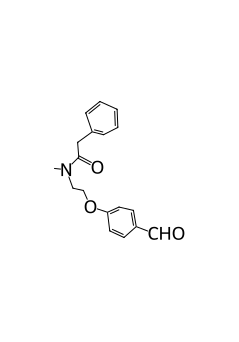 CN(CCOc1ccc(C=O)cc1)C(=O)Cc1ccccc1